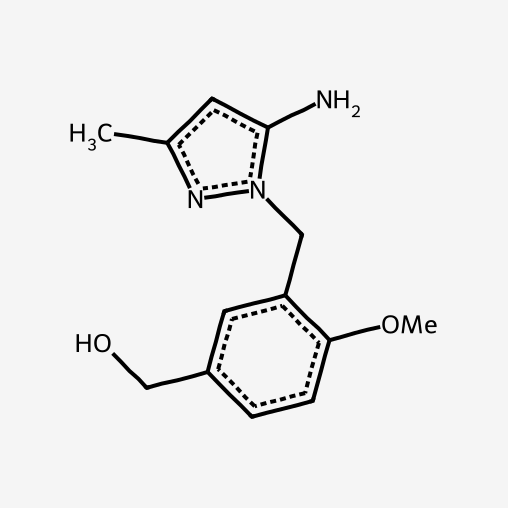 COc1ccc(CO)cc1Cn1nc(C)cc1N